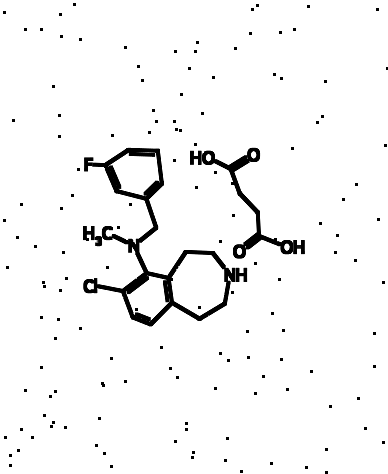 CN(Cc1cccc(F)c1)c1c(Cl)ccc2c1CCNCC2.O=C(O)CCC(=O)O